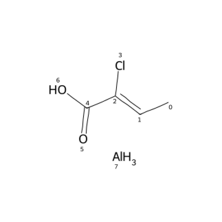 CC=C(Cl)C(=O)O.[AlH3]